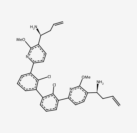 C=CC[C@H](N)c1ccc(-c2cccc(-c3cccc(-c4ccc([C@@H](N)CC=C)c(OC)n4)c3Cl)c2Cl)nc1OC